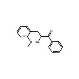 COc1ccccc1CC(O)C(=O)c1ccccc1